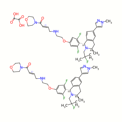 C[C@@H]1Cc2cc(-c3cnn(C)c3)ccc2[C@@H](c2c(F)cc(OCCNC/C=C/C(=O)N3CCOCC3)cc2F)N1CC(C)(C)F.C[C@@H]1Cc2cc(-c3cnn(C)c3)ccc2[C@@H](c2c(F)cc(OCCNC/C=C/C(=O)N3CCOCC3)cc2F)N1CC(C)(C)F.O=C(O)C(=O)O